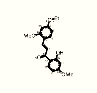 CCOc1ccc(/C=C/C(=O)c2ccc(OC)cc2O)c(OC)c1